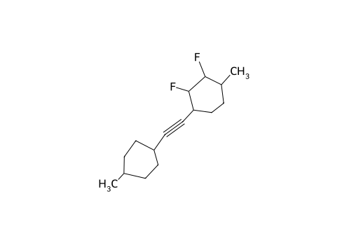 CC1CCC(C#CC2CCC(C)C(F)C2F)CC1